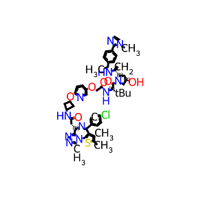 C=C(NC(C)c1ccc(-c2nccn2C)cc1)[C@@H]1C[C@@H](O)CN1C(=O)[C@@H](NC(=O)COc1ccc(OC2CC(NC(=O)C[C@@H]3N=C(c4ccc(Cl)cc4)c4c(sc(C)c4C)-n4c(C)nnc43)C2)nc1)C(C)(C)C